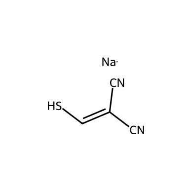 N#CC(C#N)=CS.[Na]